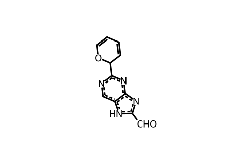 O=Cc1nc2nc(C3C=CC=CO3)ncc2[nH]1